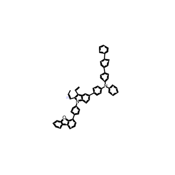 C=Cc1c(/C=C\C)n(-c2ccc(-c3cccc4c3oc3ccccc34)cc2)c2ccc(-c3ccc(N(c4ccccc4)c4ccc(-c5ccc(-c6ccccc6)cc5)cc4)cc3)cc12